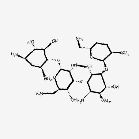 CO[C@@H]1[C@@H](O)[C@H](O[C@H]2O[C@H](CN)CC[C@H]2N)[C@@H](NN[C@H]2[C@@H](O[C@H]3[C@H](O)[C@@H](O)[C@H](N)C[C@@H]3N)O[C@H](CN)[C@@H](O)[C@H]2F)C[C@H]1N